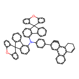 c1c(-c2ccc(N(c3cccc4c3-c3ccccc3C43c4ccccc4Oc4ccccc43)c3cccc4c3-c3ccccc3C43c4ccccc4Oc4ccccc43)cc2)cc2c(c#1)c1c(c3ccccc32)C=CCC1